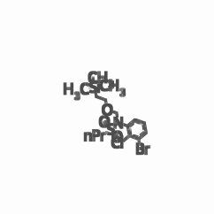 CCCS(=O)(=O)N(COCC[Si](C)(C)C)c1cccc(Br)c1Cl